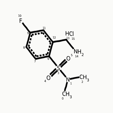 CN(C)S(=O)(=O)c1ccc(F)cc1CN.Cl